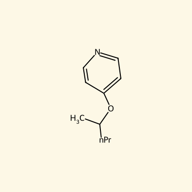 CCCC(C)Oc1ccncc1